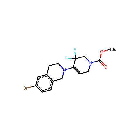 CC(C)(C)OC(=O)N1CC=C(N2CCc3cc(Br)ccc3C2)C(F)(F)C1